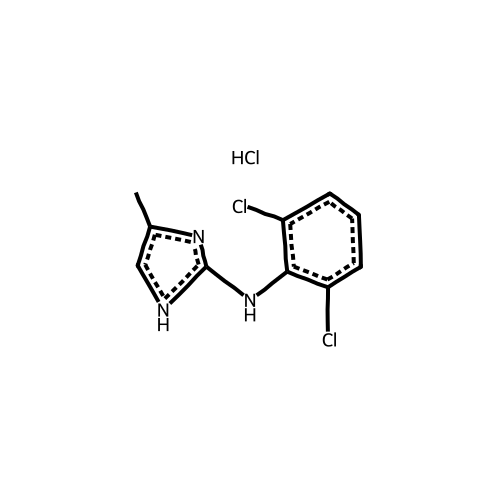 Cc1c[nH]c(Nc2c(Cl)cccc2Cl)n1.Cl